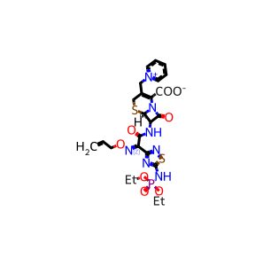 C=CCO/N=C(\C(=O)NC1C(=O)N2C(C(=O)[O-])=C(C[n+]3ccccc3)CS[C@H]12)c1nsc(NP(=O)(OCC)OCC)n1